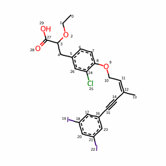 CCOC(Cc1ccc(OCC=C(C)C#Cc2cc(I)cc(I)c2)c(Cl)c1)C(=O)O